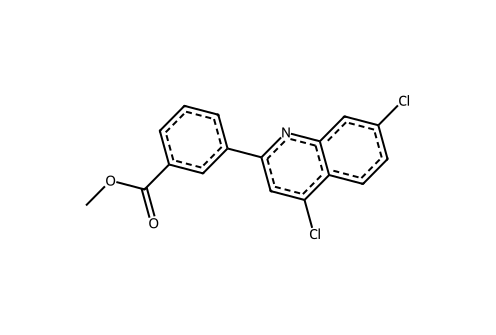 COC(=O)c1cccc(-c2cc(Cl)c3ccc(Cl)cc3n2)c1